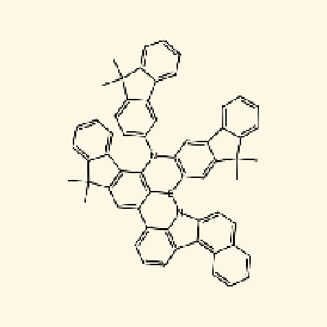 CC1(C)c2ccccc2-c2cc(N3c4cc5c(cc4B4c6c(cc7c(c63)-c3ccccc3C7(C)C)-c3cccc6c7c8ccccc8ccc7n4c36)C(C)(C)c3ccccc3-5)ccc21